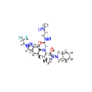 CCNCCNC(=O)CN(CC(=O)N(C)N1Cc2ccccc2C1)c1cc2nn(CC(F)F)cc2cc1C